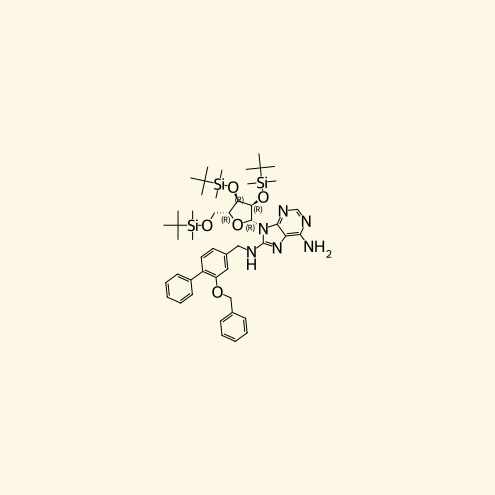 CC(C)(C)[Si](C)(C)OC[C@H]1O[C@@H](n2c(NCc3ccc(-c4ccccc4)c(OCc4ccccc4)c3)nc3c(N)ncnc32)[C@H](O[Si](C)(C)C(C)(C)C)[C@@H]1O[Si](C)(C)C(C)(C)C